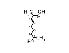 CC(C=CCCCC(C)C(C)C)CO